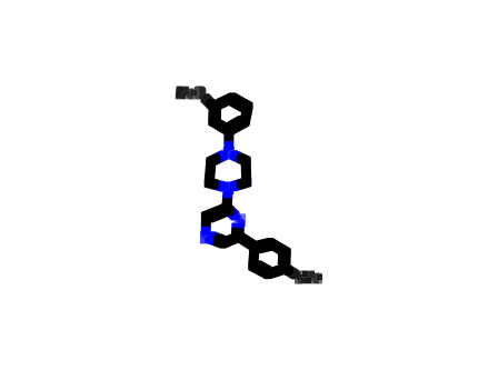 COc1cccc(N2CCN(c3cncc(-c4ccc(SC)cc4)n3)CC2)c1